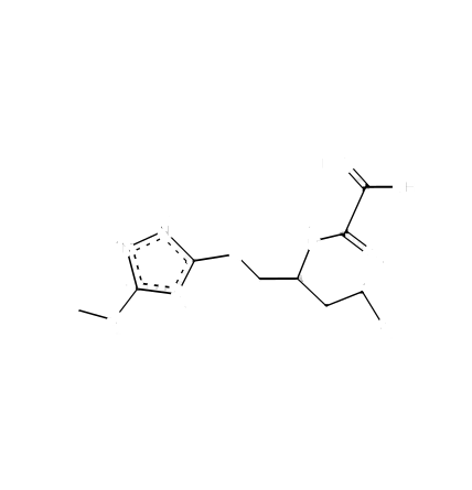 C=C(C)C(=O)OC(CCC)CSc1nnc(SC)s1